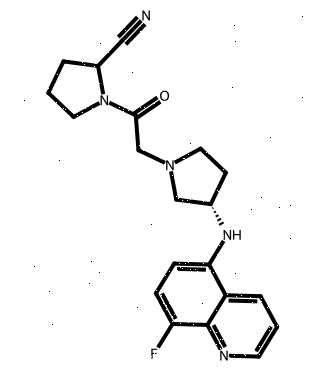 N#CC1CCCN1C(=O)CN1CC[C@H](Nc2ccc(F)c3ncccc23)C1